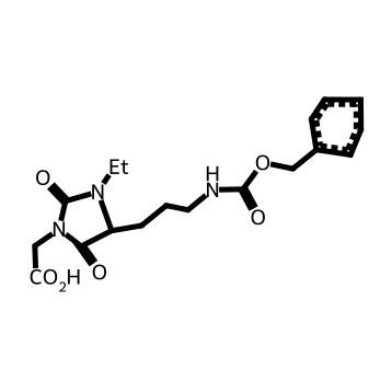 CCN1C(=O)N(CC(=O)O)C(=O)C1CCCNC(=O)OCc1ccccc1